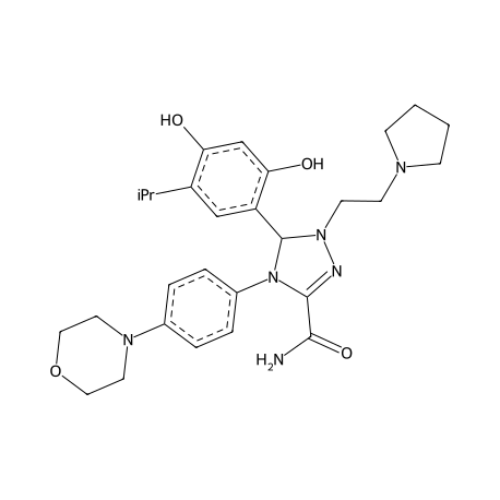 CC(C)c1cc(C2N(CCN3CCCC3)N=C(C(N)=O)N2c2ccc(N3CCOCC3)cc2)c(O)cc1O